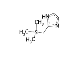 C[Si](C)(C)Cc1ncc[nH]1